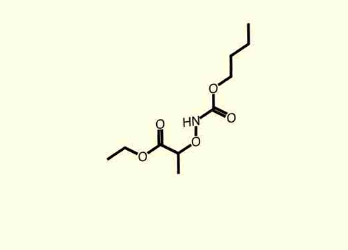 CCCCOC(=O)NOC(C)C(=O)OCC